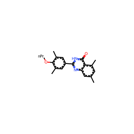 CCCOc1c(C)cc(-c2nc3cc(C)cc(C)c3c(=O)[nH]2)cc1C